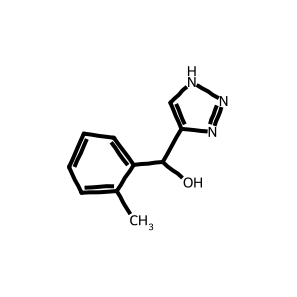 Cc1ccccc1C(O)c1c[nH]nn1